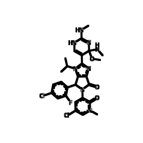 CNC1=NC(NC)(OC)C(c2nc3c(n2C(C)C)C(c2ccc(Cl)cc2F)N(c2cc(Cl)cn(C)c2=O)C3=O)=CN1